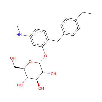 CCc1ccc(Cc2ccc(NC)cc2O[C@H]2O[C@H](CO)[C@@H](O)[C@H](O)[C@H]2O)cc1